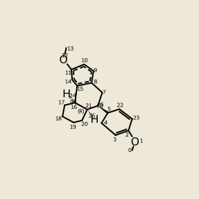 COC1=CCC([C@@H]2Cc3ccc(OC)cc3[C@@H]3CCCC[C@@H]32)C=C1